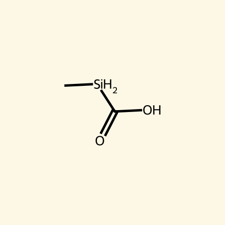 C[SiH2]C(=O)O